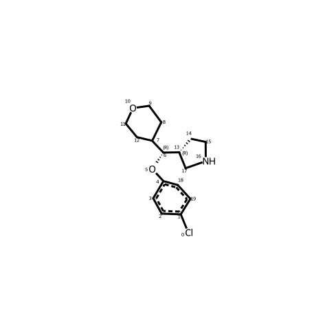 Clc1ccc(O[C@H](C2CCOCC2)[C@@H]2CCNC2)cc1